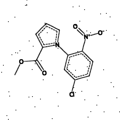 COC(=O)c1cccn1-c1cc(Cl)ccc1[N+](=O)[O-]